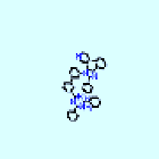 c1ccc(-c2nc3c4ccccc4c4ccncc4c3n2-c2cccc(-c3cccc(C4=NC(c5ccccc5)NC(c5ccccc5)N4)c3)c2)cc1